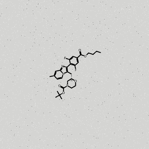 CCCCOC(=O)c1cc(F)c(-c2nc3cc(C)ccn3c2C[C@H]2CN(C(=O)OC(C)(C)C)CCO2)c(F)c1